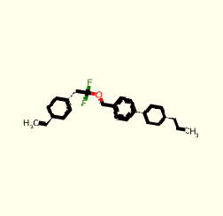 C=C[C@H]1CC[C@H](CC(F)(F)OCc2ccc([C@H]3CC[C@H](CCC)CC3)cc2)CC1